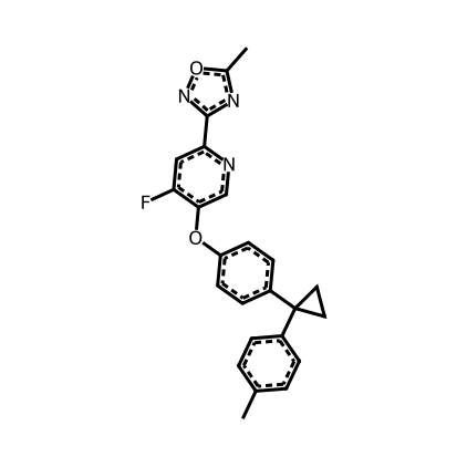 Cc1ccc(C2(c3ccc(Oc4cnc(-c5noc(C)n5)cc4F)cc3)CC2)cc1